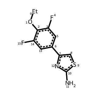 CCOc1c(F)cc(-c2csc(N)n2)cc1F